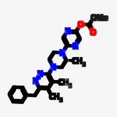 COC(=O)Oc1cnc(N2CCN(c3nnc(Cc4ccccc4)c(C)c3C)C[C@H]2C)cn1